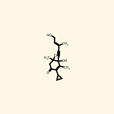 CC(C#CC1(O)C(C)=C(C2CC2)C(=O)CC1(C)C)=CCO